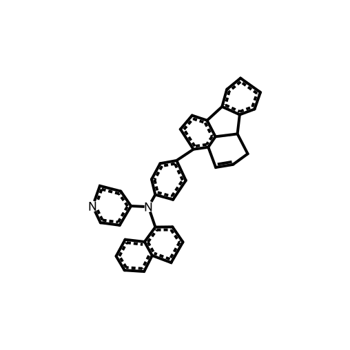 C1=Cc2c(-c3ccc(N(c4ccncc4)c4cccc5ccccc45)cc3)ccc3c2C(C1)c1ccccc1-3